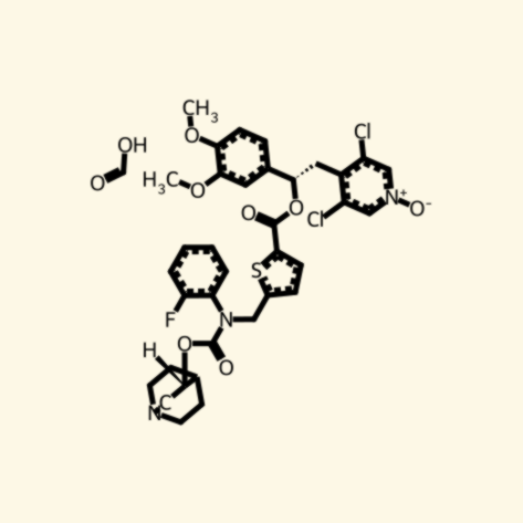 COc1ccc([C@H](Cc2c(Cl)c[n+]([O-])cc2Cl)OC(=O)c2ccc(CN(C(=O)O[C@H]3CN4CCC3CC4)c3ccccc3F)s2)cc1OC.O=CO